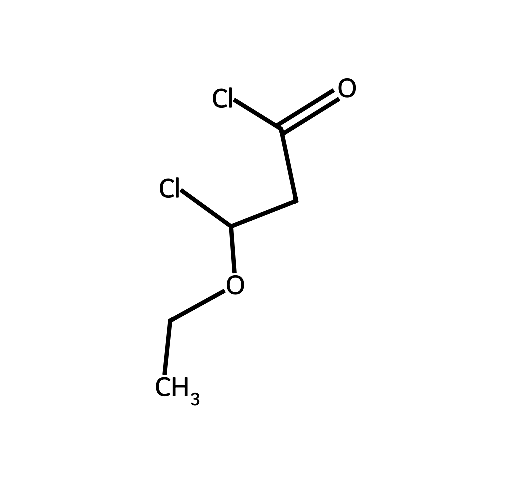 CCOC(Cl)CC(=O)Cl